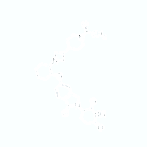 CC(=O)N1CCC(C2CN([C@@H]3CCCC[C@H]3Oc3ccc4c(c3)CN(C3CCC(=O)NC3=O)C4=O)C2)CC1